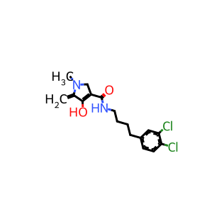 C=C1C(O)=C(C(=O)NCCCCc2ccc(Cl)c(Cl)c2)CN1C